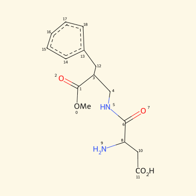 COC(=O)C(CNC(=O)C(N)CC(=O)O)Cc1ccccc1